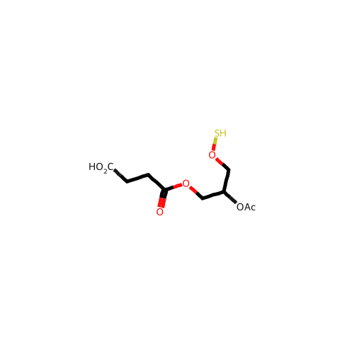 CC(=O)OC(COS)COC(=O)CCC(=O)O